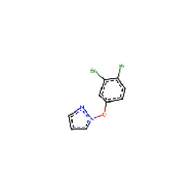 Brc1ccc(On2c[c]cn2)cc1Br